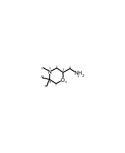 CN1CC(CN)OCC1(C)C